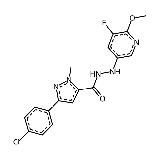 COc1ncc(NNC(=O)c2cc(-c3ccc(Cl)cc3)nn2C)cc1F